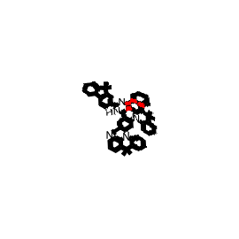 CC1(C)C2=CCCC=C2c2ccc(C3N=C(c4ccccc4)N=C(c4cc(C#N)c(N5c6ccccc6C(C)(C)c6ccccc65)cc4N4c5ccccc5C(C)(C)c5ccccc54)N3)cc21